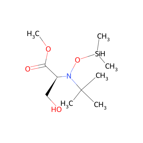 COC(=O)[C@H](CO)N(O[SiH](C)C)C(C)(C)C